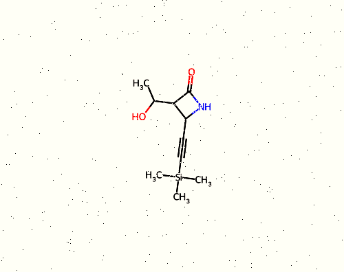 CC(O)C1C(=O)NC1C#C[Si](C)(C)C